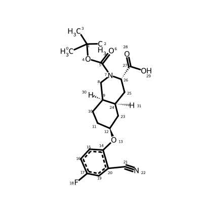 CC(C)(C)OC(=O)N1C[C@@H]2CC[C@H](Oc3ccc(F)cc3C#N)C[C@@H]2C[C@H]1C(=O)O